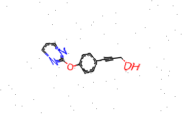 OCC#Cc1ccc(Oc2ncccn2)cc1